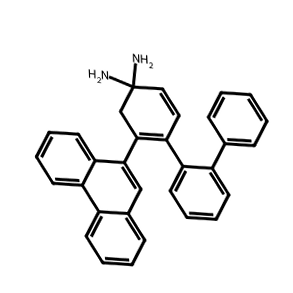 NC1(N)C=CC(c2ccccc2-c2ccccc2)=C(c2cc3ccccc3c3ccccc23)C1